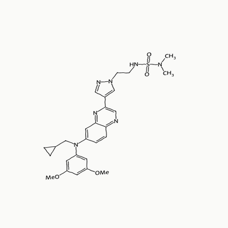 COc1cc(OC)cc(N(CC2CC2)c2ccc3ncc(-c4cnn(CCNS(=O)(=O)N(C)C)c4)nc3c2)c1